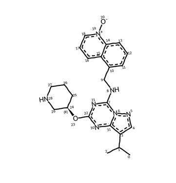 CC(C)c1cnn2c(NCc3cccc4c3ccc[n+]4[O-])nc(O[C@@H]3CCCNC3)nc12